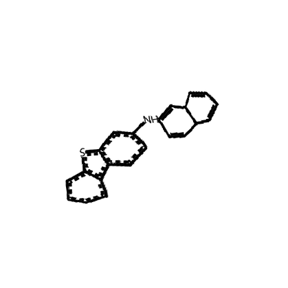 C1=CC2C=CC(Nc3ccc4c(c3)sc3ccccc34)=CC2C=C1